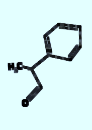 C[C](C=O)c1ccccc1